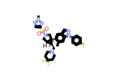 Cc1cc2c(cnn2-c2ccc(F)cc2)cc1[C@]12CN(S(=O)(=O)c3cnn(C)n3)C[C@H]1[C@@H]2CN1CCC(F)(F)CC1